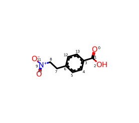 O=C(O)c1ccc(CC[N+](=O)[O-])cc1